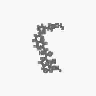 CN1CC(c2cccc(-c3ccc4cnc(CNC(=O)c5ccc6c(c5)[C@](C)(C#N)COC6)cc4n3)n2)C1